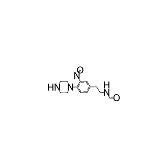 O=CNCCc1ccc(N2CCNCC2)c(N=O)c1